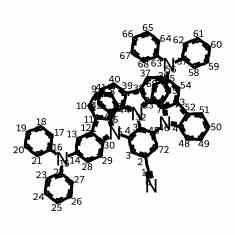 N#Cc1cc(-n2c3ccccc3c3cc(N(c4ccccc4)c4ccccc4)ccc32)c(-n2c3ccccc3c3ccccc32)c(-n2c3ccccc3c3cc(N(c4ccccc4)c4ccccc4)ccc32)c1